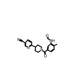 Cc1ccc(C(=O)N2CCC(c3ccc(C#N)cn3)CC2)cc1NC=O